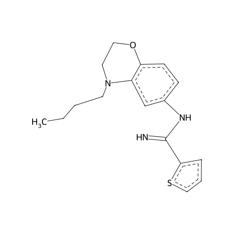 CCCCN1CCOc2ccc(NC(=N)c3cccs3)cc21